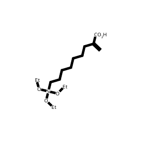 C=C(CCCCCCC[Si](OCC)(OCC)OCC)C(=O)O